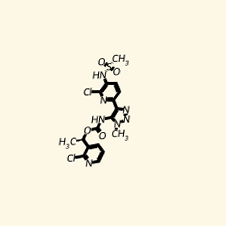 C[C@@H](OC(=O)Nc1c(-c2ccc(NS(C)(=O)=O)c(Cl)n2)nnn1C)c1cccnc1Cl